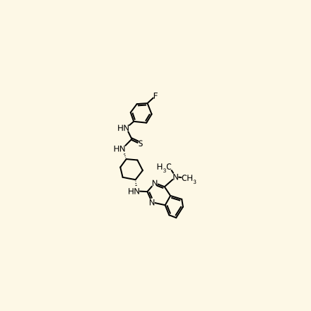 CN(C)c1nc(N[C@H]2CC[C@@H](NC(=S)Nc3ccc(F)cc3)CC2)nc2ccccc12